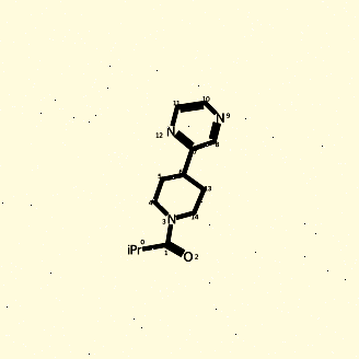 CC(C)C(=O)N1CCC(c2cnccn2)CC1